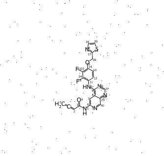 C=C=CC(=O)Nc1cc2c(Nc3ccc(OCc4nccs4)c(F)c3F)ncnc2cn1